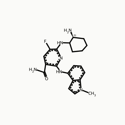 Cn1ccc2c(Nc3nc(NC4CCCC[C@@H]4N)c(F)cc3C(N)=O)cccc21